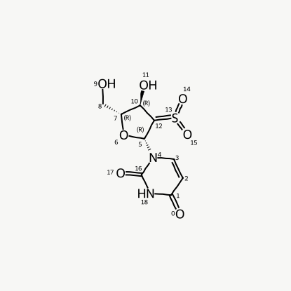 O=c1ccn([C@@H]2O[C@H](CO)[C@@H](O)C2=S(=O)=O)c(=O)[nH]1